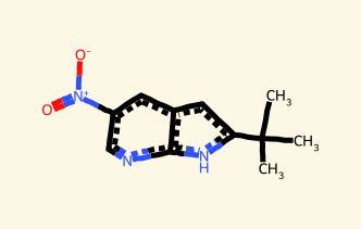 CC(C)(C)c1cc2cc([N+](=O)[O-])cnc2[nH]1